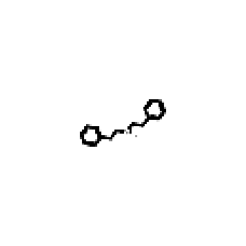 c1ccc(CC[SiH2]CCc2ccccc2)cc1